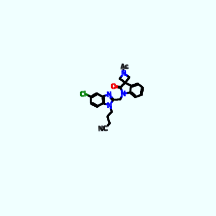 CC(=O)N1CC2(C1)C(=O)N(Cc1nc3cc(Cl)ccc3n1CCCC#N)c1ccccc12